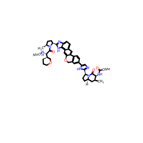 CON[C@H](C(=O)N1[C@@H](C)CC[C@H]1c1nc2ccc3cc4c(cc3c2[nH]1)OCc1cc(-c2cnc([C@@H]3CC[C@@H]5CC(C)[C@H](NC(=O)OC)C(=O)N53)[nH]2)ccc1-4)[C@@H]1CCCOC1